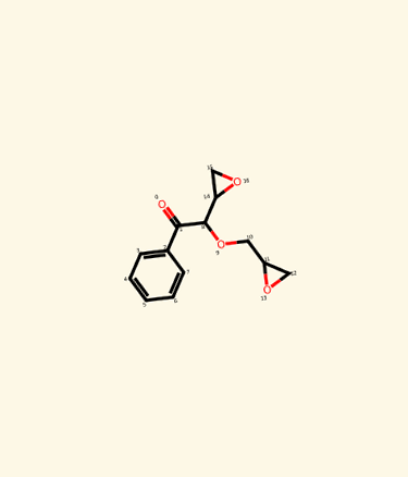 O=C(c1ccccc1)C(OCC1CO1)C1CO1